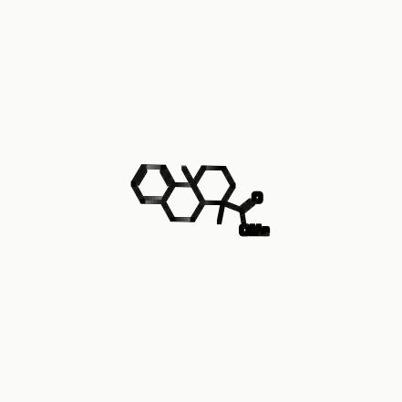 COC(=O)C1(C)CCCC2(C)c3ccccc3CCC12